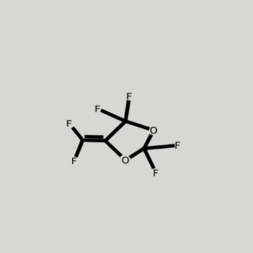 FC(F)=C1OC(F)(F)OC1(F)F